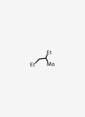 CCC[CH]([Mo])CC